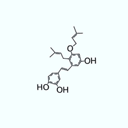 CC(C)=CCOc1cc(O)cc(C=Cc2ccc(O)c(O)c2)c1CC=C(C)C